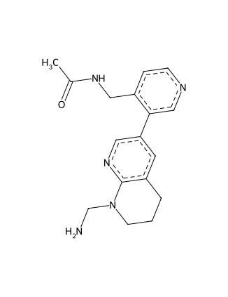 CC(=O)NCc1ccncc1-c1cnc2c(c1)CCCN2CN